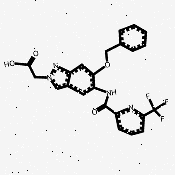 O=C(O)Cn1cc2cc(NC(=O)c3cccc(C(F)(F)F)n3)c(OCc3ccccc3)cc2n1